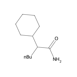 CCCCC(C(N)=O)C1CCCCC1